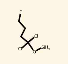 FCCCC(Cl)(Cl)O[SiH3]